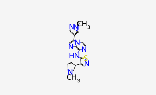 CN1CCCC(c2cnsc2Nc2nccn3c(-c4cnn(C)c4)cnc23)C1